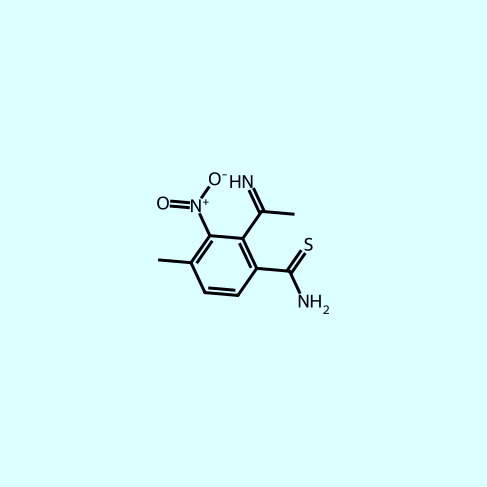 CC(=N)c1c(C(N)=S)ccc(C)c1[N+](=O)[O-]